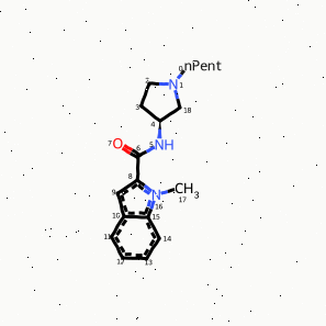 CCCCCN1CC[C@H](NC(=O)c2cc3ccccc3n2C)C1